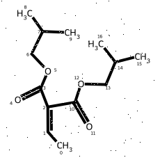 CC=C(C(=O)OCC(C)C)C(=O)OCC(C)C